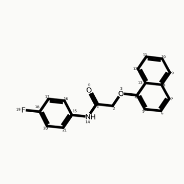 O=C(COc1cccc2ccccc12)Nc1ccc(F)cc1